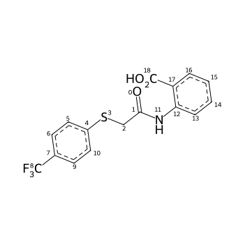 O=C(CSc1ccc(C(F)(F)F)cc1)Nc1ccccc1C(=O)O